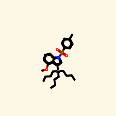 CCC[CH2][Sn]([CH2]CCC)([CH2]CCC)[c]1cn(S(=O)(=O)c2ccc(C)cc2)c2cccc(OC)c12